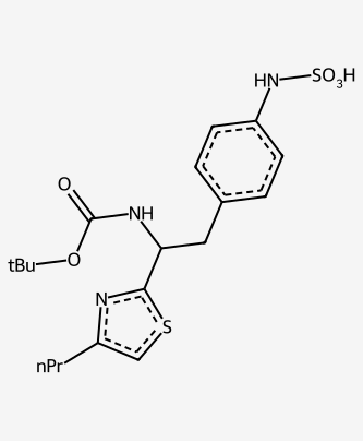 CCCc1csc(C(Cc2ccc(NS(=O)(=O)O)cc2)NC(=O)OC(C)(C)C)n1